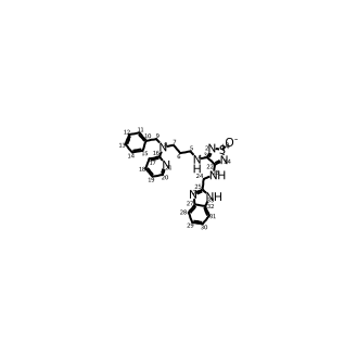 [O-][s+]1nc(NCCCN(Cc2ccccc2)c2ccccn2)c(NCc2nc3ccccc3[nH]2)n1